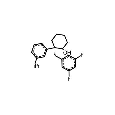 CC(C)c1cccc([C@@]2(Cc3cc(F)cc(F)c3)CCC[CH][C@H]2O)c1